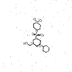 O=S1(=O)CCN(S(=O)(=O)N2C[C@H](CO)C[C@H](C3CCCCC3)C2)CC1